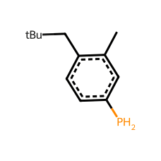 Cc1cc(P)ccc1CC(C)(C)C